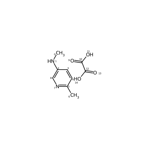 CNc1ccc(C)nc1.O=C(O)C(=O)O